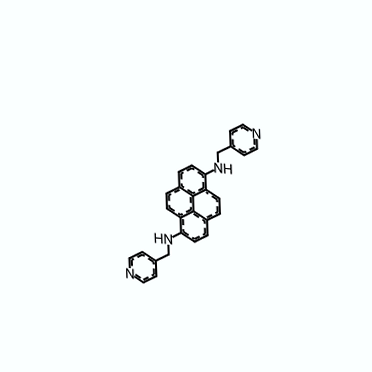 c1cc(CNc2ccc3ccc4c(NCc5ccncc5)ccc5ccc2c3c54)ccn1